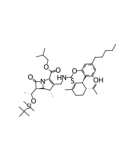 C=C(C)[C@@H]1CCC(C)=C[C@H]1c1c(O)cc(CCCCC)cc1OC(=S)NCC1=C(C(=O)OCC(C)C)N2C(=O)[C@H]([C@@H](C)O[Si](C)(C)C(C)(C)C)C2[C@H]1C